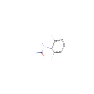 CC(=O)N(C(N)=O)c1c(Cl)cccc1Cl